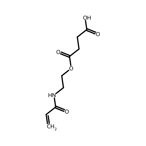 C=CC(=O)NCCOC(=O)CCC(=O)O